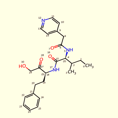 CCC(C)[C@H](NC(=O)Cc1ccncc1)C(=O)N[C@@H](CCc1ccccc1)C(=O)CO